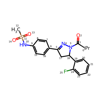 CC(C)C(=O)N1N=C(c2ccc(NS(C)(=O)=O)cc2)CC1c1ccccc1F